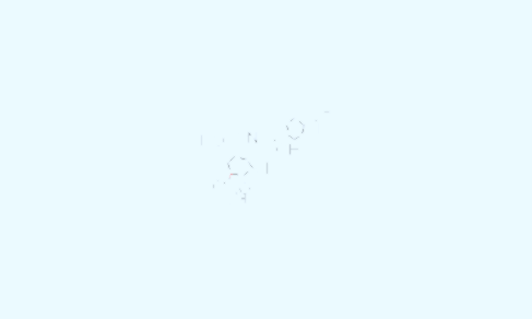 CC(C(O)c1cc(Cl)c(O[Si](C(C)C)(C(C)C)C(C)C)c(Cl)c1)N1CCC(O)(c2ccc(C(F)(F)F)cc2)CC1